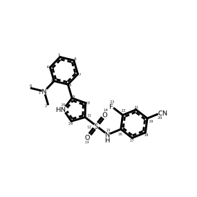 CN(C)c1ccccc1-c1cc(S(=O)(=O)Nc2ccc(C#N)cc2F)c[nH]1